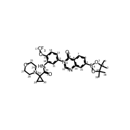 CC1(C)OB(c2ccc3c(=O)n(-c4ccc(OC(F)(F)F)c(NC(=O)C5(N6CCOCC6)CC5)c4)cnc3c2)OC1(C)C